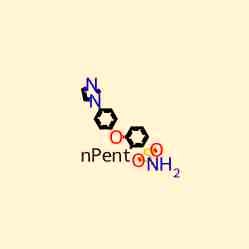 CCCCCc1c(Oc2ccc(-n3ccnc3)cc2)cccc1S(N)(=O)=O